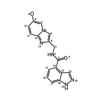 O=C(NCc1cn2cc(Cl)ccc2n1)c1cccc2[nH]ncc12